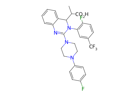 CC(C(=O)O)C1c2ccccc2N=C(N2CCN(c3ccc(F)cc3)CC2)N1c1cc(C(F)(F)F)ccc1F